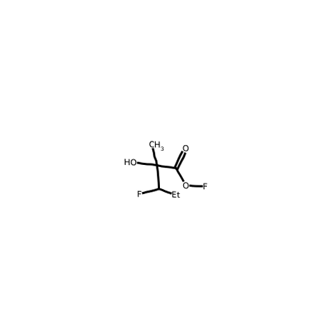 CCC(F)C(C)(O)C(=O)OF